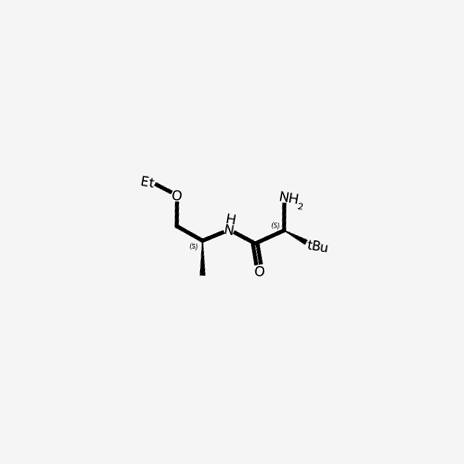 CCOC[C@H](C)NC(=O)[C@@H](N)C(C)(C)C